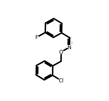 Fc1cccc(/[C]=N\OCc2ccccc2Cl)c1